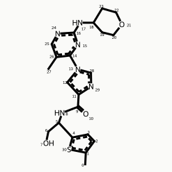 Cc1ccc(C(CO)NC(=O)c2cn(-c3nc(NC4CCOCC4)ncc3C)cn2)s1